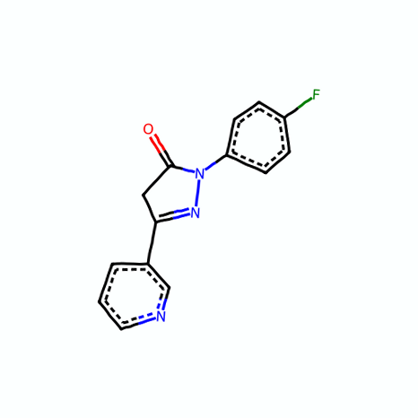 O=C1CC(c2cccnc2)=NN1c1ccc(F)cc1